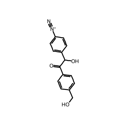 N#[N+]c1ccc(C(O)C(=O)c2ccc(CO)cc2)cc1